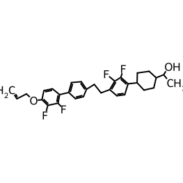 C=CCOc1ccc(-c2ccc(CCc3ccc(C4CCC(C(C)O)CC4)c(F)c3F)cc2)c(F)c1F